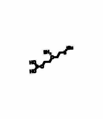 B.CC(C)(C)SCCOCCOB(O)O